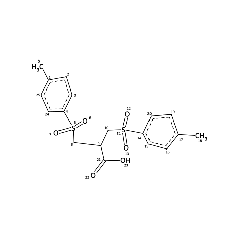 Cc1ccc(S(=O)(=O)CC(CS(=O)(=O)c2ccc(C)cc2)C(=O)O)cc1